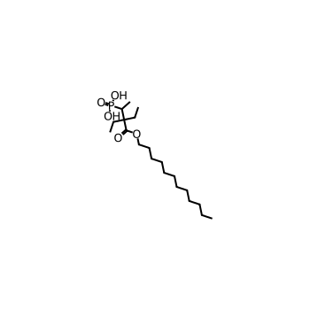 CCCCCCCCCCCCOC(=O)C(CC)(CC)C(C)P(=O)(O)O